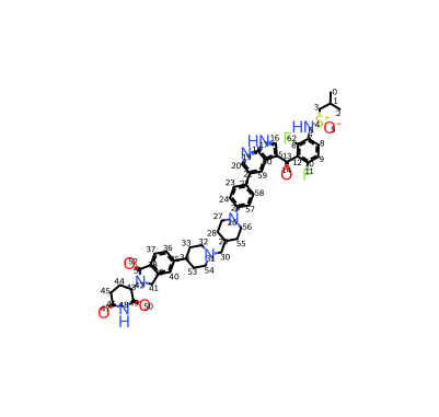 CC(C)C[S+]([O-])Nc1ccc(F)c(C(=O)c2c[nH]c3ncc(-c4ccc(N5CCC(CN6CCC(c7ccc8c(c7)CN([C@H]7CCC(=O)NC7=O)C8=O)CC6)CC5)cc4)cc23)c1F